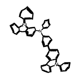 c1ccc(N(c2ccc(-c3ccc4c(c3)c3ccccc3n4-c3ccccc3)cc2)c2ccc3c4ccccc4n(-c4ccccc4)c3c2)cc1